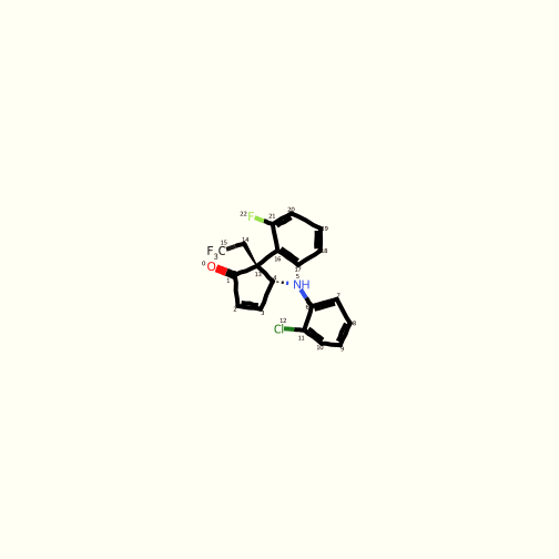 O=C1C=C[C@@H](Nc2ccccc2Cl)[C@@]1(CC(F)(F)F)c1ccccc1F